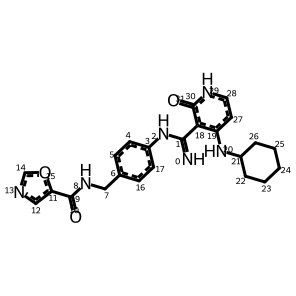 N=C(Nc1ccc(CNC(=O)c2cnco2)cc1)c1c(NC2CCCCC2)cc[nH]c1=O